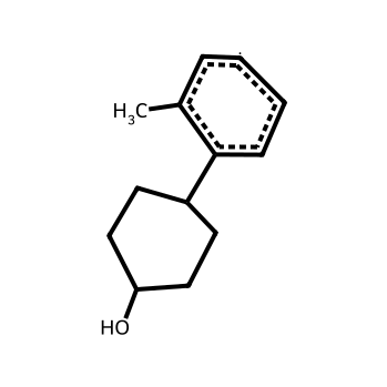 Cc1c[c]ccc1C1CCC(O)CC1